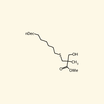 CCCCCCCCCCCCCCCCSCC(C)(CO)C(=O)OC